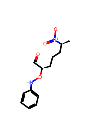 C[C@@H](CCC[C@H](C=O)ONc1ccccc1)[N+](=O)[O-]